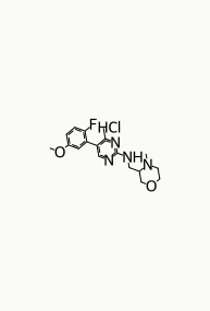 COc1ccc(F)c(-c2cnc(NCC3COCCN3C)nc2C)c1.Cl